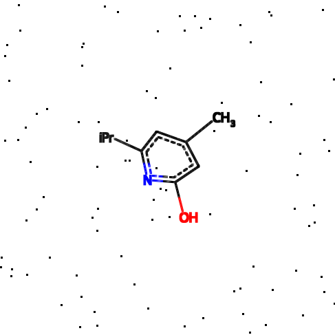 Cc1cc(O)nc(C(C)C)c1